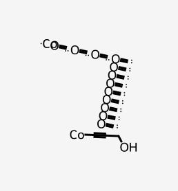 OCC#[C][Co].[C]=O.[C]=O.[C]=O.[C]=O.[C]=O.[C]=O.[C]=O.[C]=O.[C]=O.[C]=O.[C]=O.[C]=O.[Co]